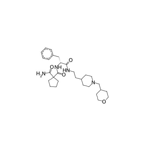 NC(=O)C1(C(=O)N[C@H](Cc2ccccc2)C(=O)NCCC2CCN(CC3CCOCC3)CC2)CCCC1